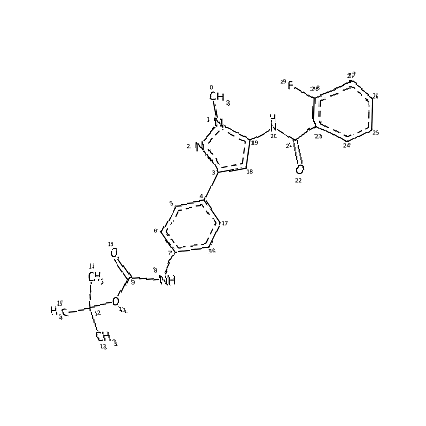 Cn1nc(-c2ccc(NC(=O)OC(C)(C)C)cc2)cc1NC(=O)c1ccccc1F